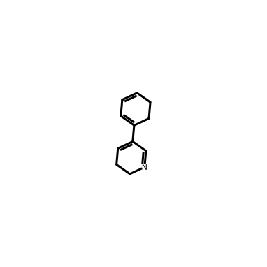 C1=CCCC(C2=CCCN=C2)=C1